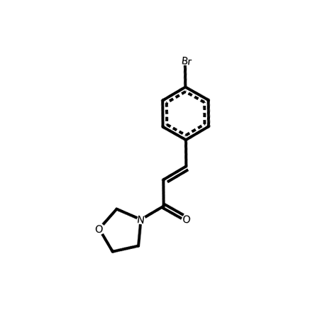 O=C(C=Cc1ccc(Br)cc1)N1CCOC1